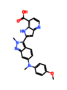 COc1ccc(N(C)c2ccc3c(-c4cc5nccc(C(=O)O)c5[nH]4)n(C)nc3c2)cc1